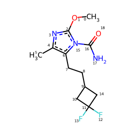 COc1nc(C)c(CCC2CC(F)(F)C2)n1C(N)=O